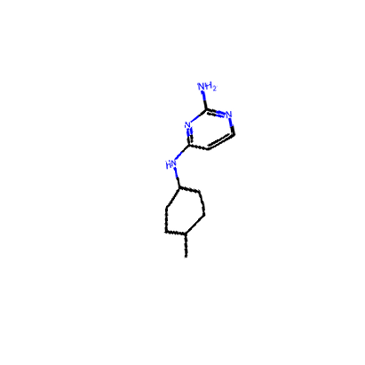 CC1CCC(Nc2ccnc(N)n2)CC1